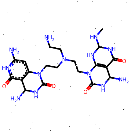 CNC1NC(=O)C2=C(N1)N(CCN(CCN)CCN1C(=O)NC(N)c3c1cc(N)[nH]c3=O)C(=O)NC2N